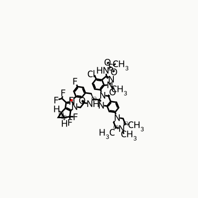 C[C@@H]1CN(c2ccc3c(=O)n(-c4ccc(Cl)c5c(NS(C)(=O)=O)nn(C)c45)c([C@H](Cc4cc(F)cc(F)c4)NC(=O)Cn4nc(C(F)F)c5c4C(F)(F)[C@@H]4C[C@H]54)nc3c2)C[C@H](C)N1C